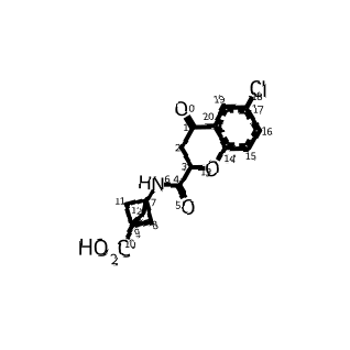 O=C1CC(C(=O)NC23CC(C(=O)O)(C2)C3)Oc2ccc(Cl)cc21